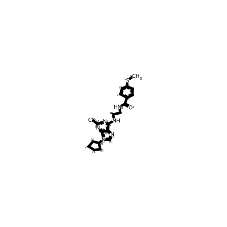 CSc1ccc(C(=O)NCCNc2nc(Cl)nc3c2ncn3C2CCCC2)cc1